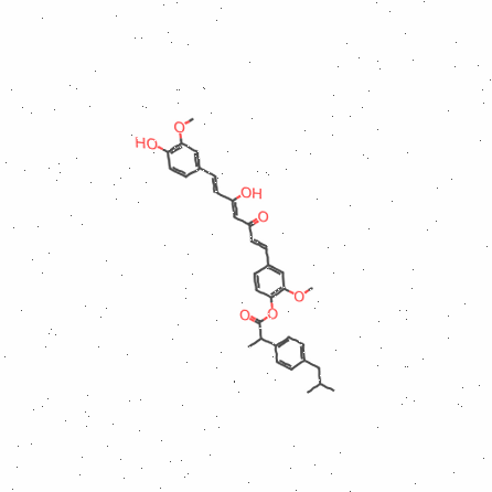 COc1cc(/C=C/C(O)=C/C(=O)/C=C/c2ccc(OC(=O)C(C)c3ccc(CC(C)C)cc3)c(OC)c2)ccc1O